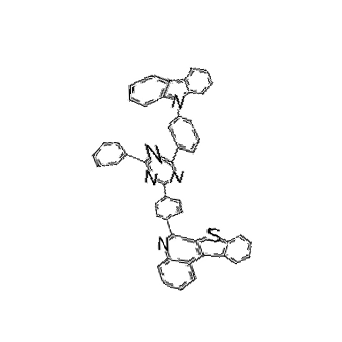 c1ccc(-c2nc(-c3ccc(-c4nc5ccccc5c5c4sc4ccccc45)cc3)nc(-c3cccc(-n4c5ccccc5c5ccccc54)c3)n2)cc1